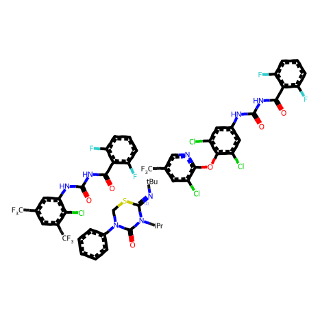 CC(C)N1C(=O)N(c2ccccc2)CS/C1=N\C(C)(C)C.O=C(NC(=O)c1c(F)cccc1F)Nc1cc(C(F)(F)F)cc(C(F)(F)F)c1Cl.O=C(NC(=O)c1c(F)cccc1F)Nc1cc(Cl)c(Oc2ncc(C(F)(F)F)cc2Cl)c(Cl)c1